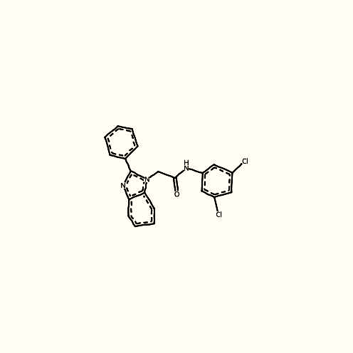 O=C(Cn1c(-c2ccccc2)nc2ccccc21)Nc1cc(Cl)cc(Cl)c1